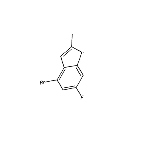 CC1=Cc2c(Br)cc(F)cc2[CH]1